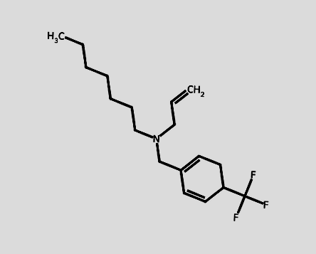 C=CCN(CCCCCCC)CC1=CCC(C(F)(F)F)C=C1